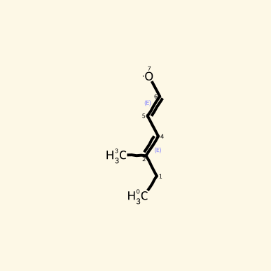 CC/C(C)=C/C=C/[O]